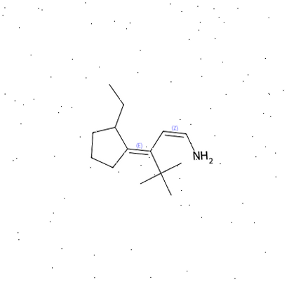 CCC1CCC/C1=C(/C=C\N)C(C)(C)C